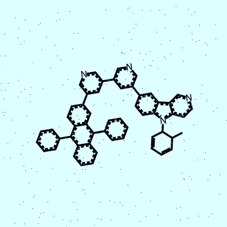 CC1C=CC=CC1n1c2ccncc2c2cc(-c3cncc(-c4cncc(-c5ccc6c(-c7ccccc7)c7ccccc7c(-c7ccccc7)c6c5)c4)c3)ccc21